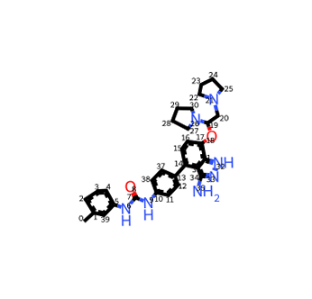 Cc1cccc(NC(=O)Nc2ccc(-c3ccc(OC(CN4CCCC4)N4CCCC4)c4[nH]nc(N)c34)cc2)c1